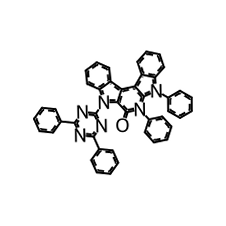 O=c1c2c(c3ccccc3n2-c2nc(-c3ccccc3)nc(-c3ccccc3)n2)c2c3ccccc3n(-c3ccccc3)c2n1-c1ccccc1